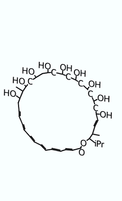 CC(C)C1OC(=O)/C=C/C=C/C=C/C=C/C=C/C=C/CC(O)C(C)C(O)CC(O)CC(O)CC(O)CC(O)CC(O)CC(O)CC(O)/C=C/C1C